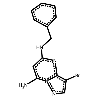 Nc1cc(NCc2ccccc2)nc2c(Br)cnn12